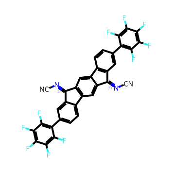 N#C/N=c1\c2cc(-c3c(F)c(F)c(F)c(F)c3F)ccc2c2cc3/c(=N/C#N)c4cc(-c5c(F)c(F)c(F)c(F)c5F)ccc4c3cc12